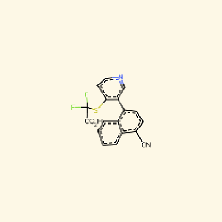 N#Cc1ccc(-c2cnccc2SC(F)(F)C(=O)O)c2ccccc12